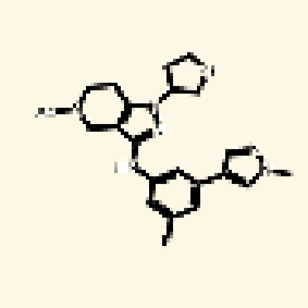 CC(=O)N1CCc2c(c(Nc3cc(F)cc(-c4cnn(C)c4)c3)nn2C2CCOC2)C1